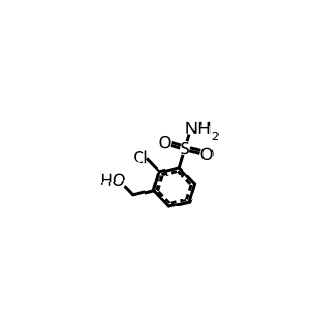 NS(=O)(=O)c1cccc(CO)c1Cl